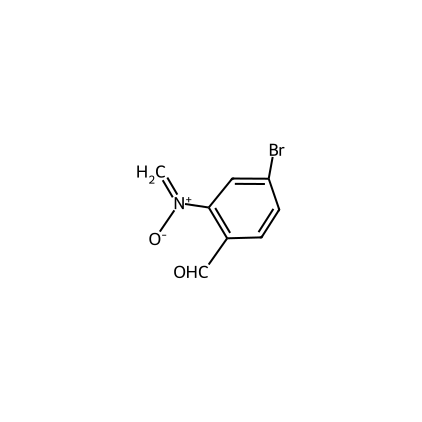 C=[N+]([O-])c1cc(Br)ccc1C=O